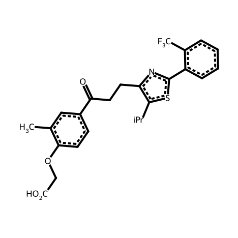 Cc1cc(C(=O)CCc2nc(-c3ccccc3C(F)(F)F)sc2C(C)C)ccc1OCC(=O)O